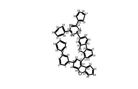 c1ccc(-c2cccc(-c3cc(-c4cccc5c4sc4cc(-c6nc(-c7ccccc7)nc(-c7ccccc7)n6)ccc45)c4c(c3)oc3ccccc34)c2)cc1